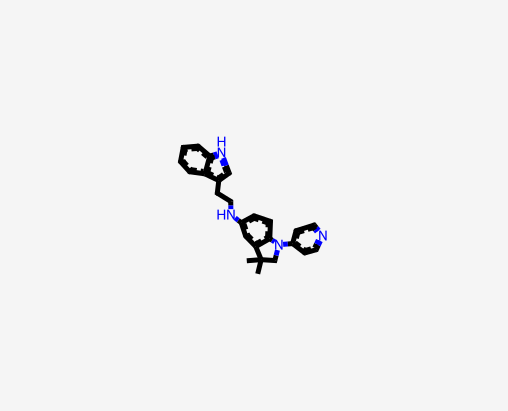 CC1(C)CN(c2ccncc2)c2ccc(NCCc3c[nH]c4ccccc34)cc21